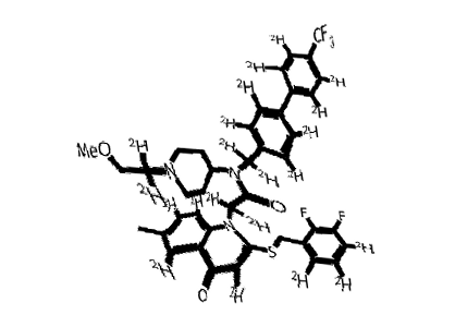 [2H]c1c([2H])c(F)c(F)c(CSc2c([2H])c(=O)c3c([2H])c(C)c([2H])c([2H])c3n2C([2H])([2H])C(=O)N(C2CCN(C([2H])([2H])COC)CC2)C([2H])([2H])c2c([2H])c([2H])c(-c3c([2H])c([2H])c(C(F)(F)F)c([2H])c3[2H])c([2H])c2[2H])c1[2H]